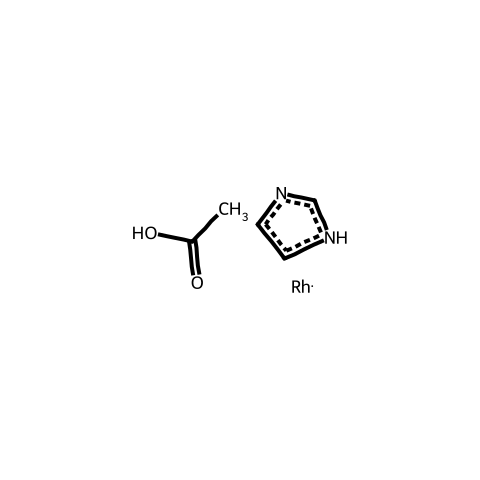 CC(=O)O.[Rh].c1c[nH]cn1